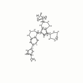 Cn1cc(-c2ccc3c(c2)CCCN3c2nn(C3CCOCC3)c3c2CN(S(C)(=O)=O)CC3)cn1